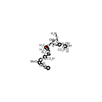 COCCN(CCO[C@@]12CC3(C)CC(Cn4ncc(-c5ccc(N6CCc7c(OC)ccc(C(=O)Nc8nc9ccccc9s8)c7C6)nc5C(=O)O)c4C)(C[C@](C)(C3)C1)C2)C(=O)OCc1ccc(O[C@H]2OC(C(=O)O)=C(O)C(O)=C2O)cc1OCCOCCN